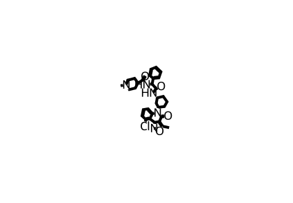 Cc1onc2c1c(=O)n(C1CCCC(NC(=O)C(NC(=O)C3CCN(C)CC3)c3ccccc3)C1)c1cccc(Cl)c21